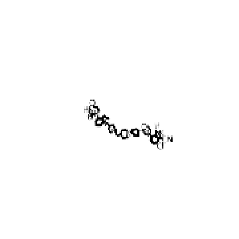 N#Cc1n[nH]c2c(N3CCO[C@@H](c4ccc(N5CCC(CN6CCC(n7ccc8c(N9CCC(=O)NC9=O)cccc87)CC6)CC5)cc4)C3)ccc(Cl)c12